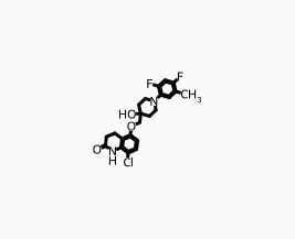 Cc1cc(N2CCC(O)(COc3ccc(Cl)c4c3CCC(=O)N4)CC2)c(F)cc1F